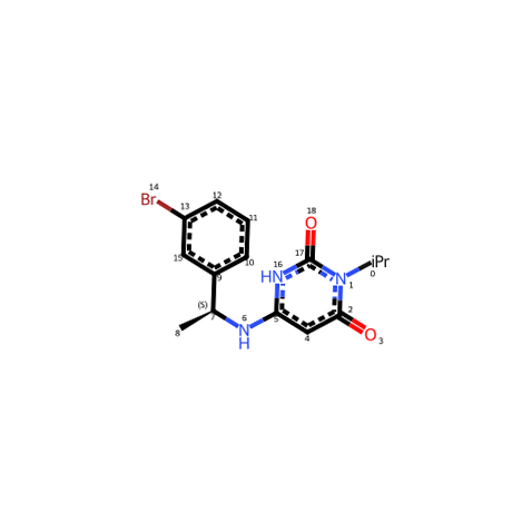 CC(C)n1c(=O)cc(N[C@@H](C)c2cccc(Br)c2)[nH]c1=O